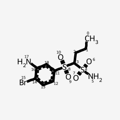 CCCC(S(N)(=O)=O)S(=O)(=O)c1ccc(Br)c(N)c1